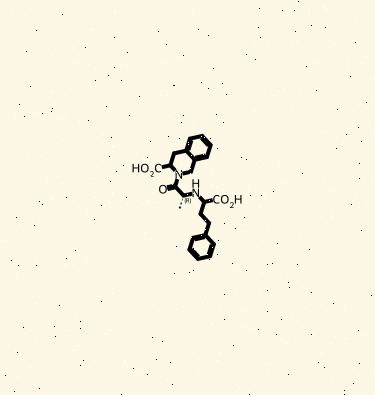 C[C@@H](NC(CCc1ccccc1)C(=O)O)C(=O)N1Cc2ccccc2CC1C(=O)O